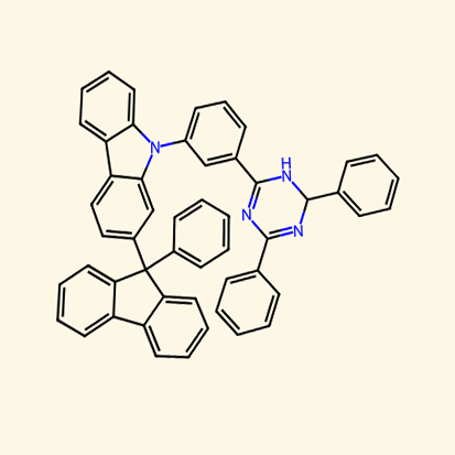 c1ccc(C2=NC(c3ccccc3)NC(c3cccc(-n4c5ccccc5c5ccc(C6(c7ccccc7)c7ccccc7-c7ccccc76)cc54)c3)=N2)cc1